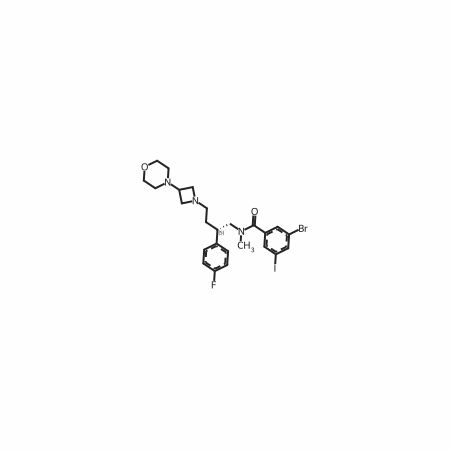 CN(C[C@@H](CCN1CC(N2CCOCC2)C1)c1ccc(F)cc1)C(=O)c1cc(Br)cc(I)c1